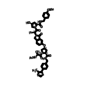 COc1ccc(CNC(=O)[C@@H]2C[C@@H](O)CN2C(=O)[C@H](C(C)C)N2Cc3ccc(O[C@@H]4C[C@@H](C(=O)NCc5ccc(-c6scnc6C)cc5)N(C(=O)[C@H](C)NC(C)=O)C4)cc3C2=O)cc1